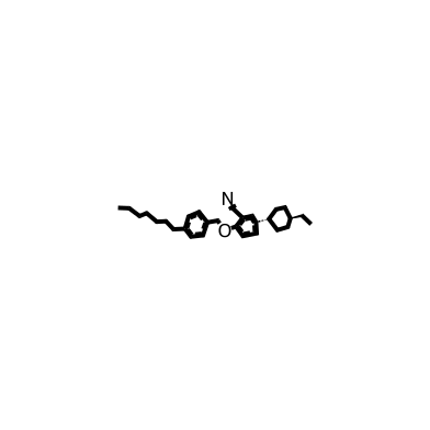 CCCCCCCc1ccc(COc2ccc([C@H]3CC[C@H](CC)CC3)cc2C#N)cc1